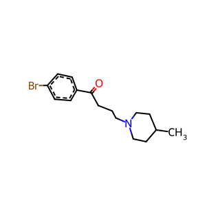 CC1CCN(CCCC(=O)c2ccc(Br)cc2)CC1